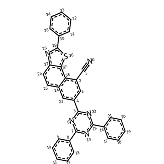 N#Cc1cc(-c2nc(-c3ccccc3)nc(-c3ccccc3)n2)cc2ccc3nc(-c4ccccc4)sc3c12